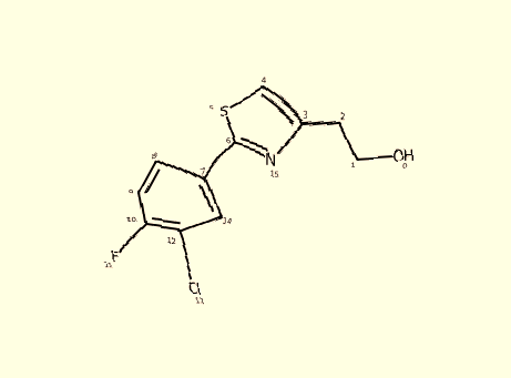 OCCc1csc(-c2ccc(F)c(Cl)c2)n1